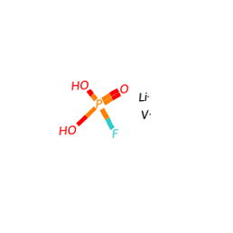 O=P(O)(O)F.[Li].[V]